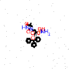 Cc1cn([C@H]2C[C@H](OP(N)O)[C@@H](COC(c3ccccc3)(c3ccccc3)c3ccccc3)O2)c(=O)[nH]c1=O